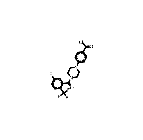 O=C(Cl)c1ccc(N2CCN(C(=O)c3cc(F)ccc3C(F)(F)F)CC2)cc1